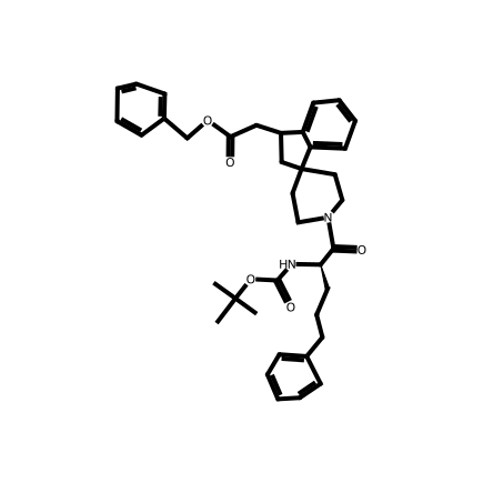 CC(C)(C)OC(=O)N[C@H](CCCc1ccccc1)C(=O)N1CCC2(CC1)CC(CC(=O)OCc1ccccc1)c1ccccc12